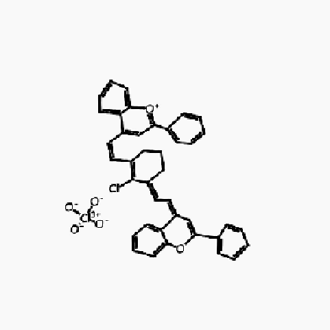 ClC1=C(/C=C\c2cc(-c3ccccc3)[o+]c3ccccc23)CCC/C1=C\C=C1\C=C(c2ccccc2)Oc2ccccc21.[O-][Cl+3]([O-])([O-])[O-]